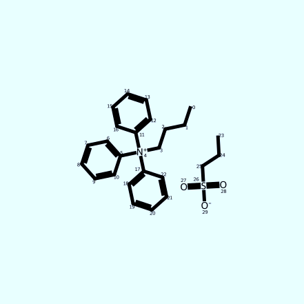 CCCC[N+](c1ccccc1)(c1ccccc1)c1ccccc1.CCCS(=O)(=O)[O-]